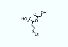 CCSCCC(OC(=O)CO)C(=O)O